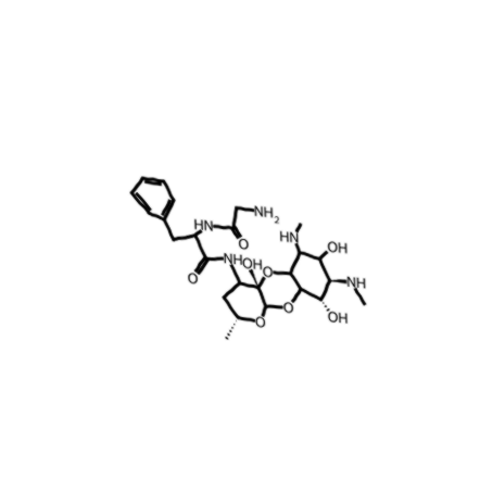 CNC1C2O[C@@]3(O)C(NC(=O)C(Cc4ccccc4)NC(=O)CN)C[C@@H](C)OC3OC2[C@@H](O)[C@H](NC)C1O